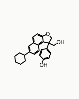 OCC1(c2ccc(O)cc2)COc2ccc3cc(C4CCCCC4)ccc3c21